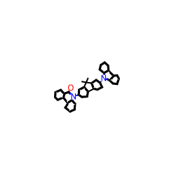 CC1(C)c2cc(-n3c(=O)c4ccccc4c4ccccc43)ccc2-c2ccc(-n3c4ccccc4c4ccccc43)cc21